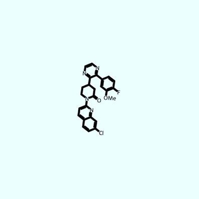 COc1cc(-c2nccnc2C2CCN(c3ccc4ccc(Cl)cc4n3)C(=O)C2)ccc1F